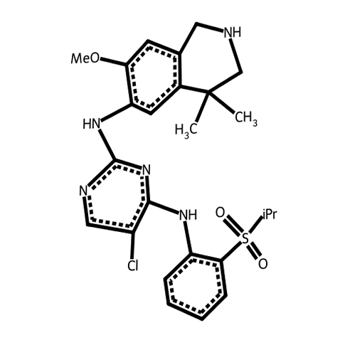 COc1cc2c(cc1Nc1ncc(Cl)c(Nc3ccccc3S(=O)(=O)C(C)C)n1)C(C)(C)CNC2